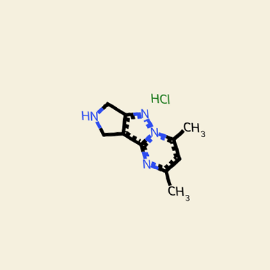 Cc1cc(C)n2nc3c(c2n1)CNC3.Cl